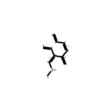 C=C/C=C\C(=C)/C(C=C)=C\SC